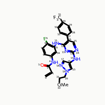 C=CC(=O)Nc1ccc(F)c(Nc2nc(Nc3cnn(CCOC)c3)ncc2-c2ccc(C(F)(F)F)cc2)c1